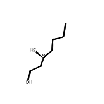 CCCC[C@H](S)CCO